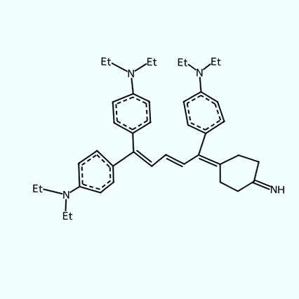 CCN(CC)c1ccc(C(=CC=CC(=C2CCC(=N)CC2)c2ccc(N(CC)CC)cc2)c2ccc(N(CC)CC)cc2)cc1